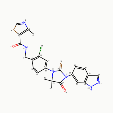 Cc1ncsc1C(=O)NCc1ccc(N2C(=S)N(c3ccc4cn[nH]c4c3)C(=O)C2(C)C)cc1F